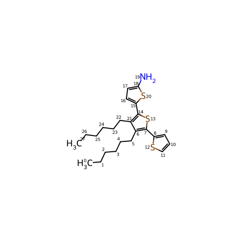 CCCCCCc1c(-c2cccs2)sc(-c2ccc(N)s2)c1CCCCCC